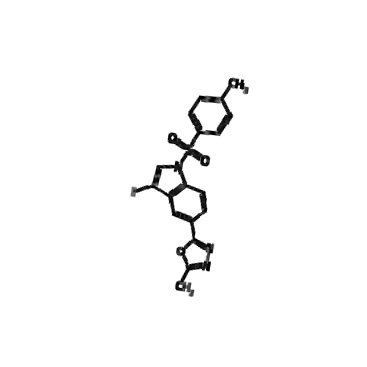 Cc1ccc(S(=O)(=O)n2cc(I)c3cc(-c4nnc(C)o4)ccc32)cc1